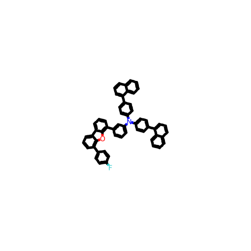 Fc1ccc(-c2cccc3c2oc2c(-c4cccc(N(c5ccc(-c6cccc7ccccc67)cc5)c5ccc(-c6cccc7ccccc67)cc5)c4)cccc23)cc1